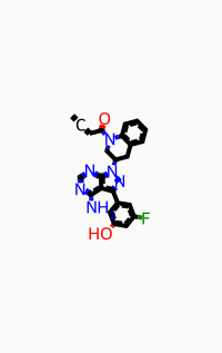 C=C=CC(=O)N1CC(n2nc(-c3cc(O)cc(F)c3)c3c(N)ncnc32)Cc2ccccc21